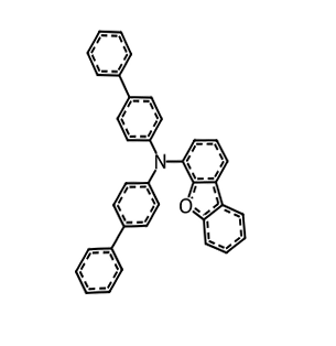 c1ccc(-c2ccc(N(c3ccc(-c4ccccc4)cc3)c3cccc4c3oc3ccccc34)cc2)cc1